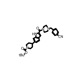 CC(C)(C)OC(=O)N1CCC(c2ccc3cc(C(=O)N4CCN(Cc5ccc(C#N)cc5)CC4)[nH]c3c2)CC1